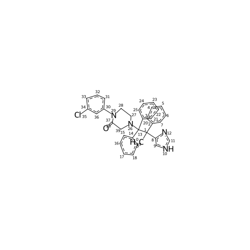 CC(c1ccccc1)(c1c[nH]cn1)C(c1ccccc1)(c1ccccc1)N1CCN(c2cccc(Cl)c2)C(=O)C1